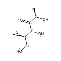 C[C@@H](O)C(=O)[C@H](O)[C@H](O)CO